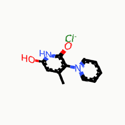 Cc1cc(O)[nH]c(=O)c1-[n+]1ccccc1.[Cl-]